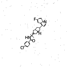 CC(C)(NC(=O)c1ccc(Cl)cc1)[C@H]1CC2CC(c3ccnc4ccc(F)cc34)C[C@H]2C1